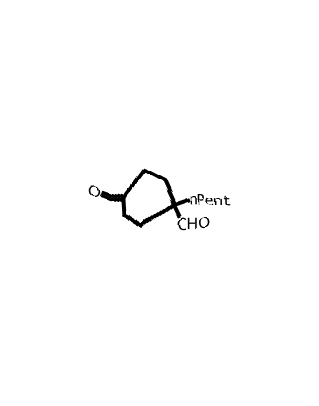 CCCCCC1(C=O)CCC(=O)CC1